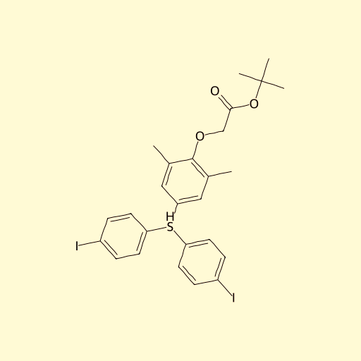 Cc1cc([SH](c2ccc(I)cc2)c2ccc(I)cc2)cc(C)c1OCC(=O)OC(C)(C)C